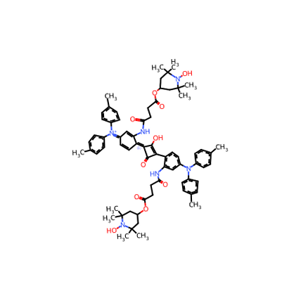 Cc1ccc(N(c2ccc(C)cc2)c2ccc(C3=C(O)/C(=C4/C=CC(=[N+](c5ccc(C)cc5)c5ccc(C)cc5)C=C4NC(=O)CCC(=O)OC4CC(C)(C)N(O)C(C)(C)C4)C3=O)c(NC(=O)CCC(=O)OC3CC(C)(C)N(O)C(C)(C)C3)c2)cc1